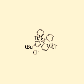 CC(C)(C)C1=C[C]([Ti+3])([Si](c2ccccc2)(c2ccccc2)c2ccccc2)C=C1.[Cl-].[Cl-].[Cl-]